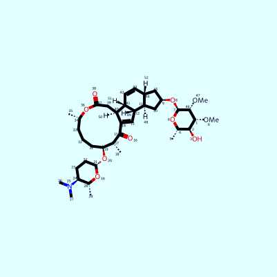 CO[C@@H]1[C@@H](O)[C@H](C)O[C@@H](O[C@H]2C[C@H]3[C@@H]4C=C5C(=O)[C@H](C)[C@@H](O[C@H]6CC[C@H](N(C)C)[C@@H](C)O6)CCC[C@H](C)OC(=O)C[C@H]5[C@@H]4C=C[C@@H]3C2)[C@@H]1OC